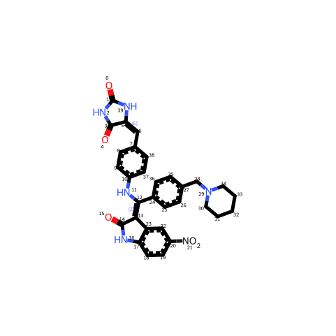 O=C1NC(=O)/C(=C\c2ccc(N/C(=C3\C(=O)Nc4ccc([N+](=O)[O-])cc43)c3ccc(CN4CCCCC4)cc3)cc2)N1